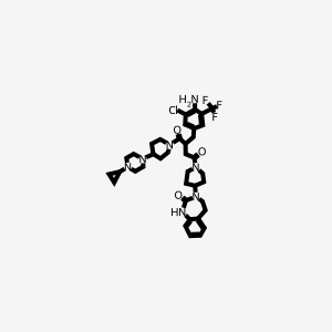 Nc1c(Cl)cc(CC(CC(=O)N2CCC(N3CCc4ccccc4NC3=O)CC2)C(=O)N2CCC(N3CCN(C4CC4)CC3)CC2)cc1C(F)(F)F